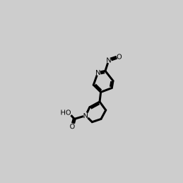 O=Nc1ccc(C2=CN(C(=O)O)CCC2)cn1